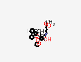 COC(=O)CCC/C=C\C[C@H]1[C@H](CO[Si](c2ccccc2)(c2ccccc2)C(C)(C)C)[C@@H](OC2CCCCO2)C[C@H]1O